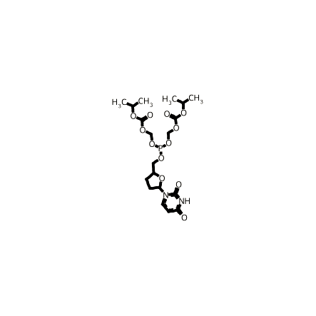 CC(C)OC(=O)OCOP(OCOC(=O)OC(C)C)OCC1CCC(n2ccc(=O)[nH]c2=O)O1